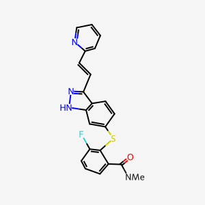 CNC(=O)c1cccc(F)c1Sc1ccc2c(/C=C/c3ccccn3)n[nH]c2c1